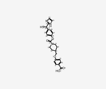 O=C(O)c1ccc(OCC2CCN(C(=O)Oc3ccc(C(S)c4ncc[nH]4)cc3)CC2)cc1